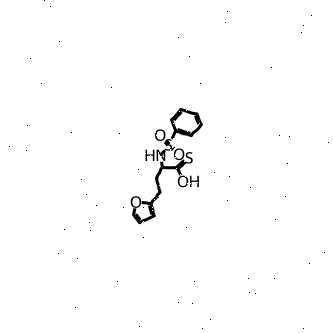 O=S(=O)(NC(CCc1ccco1)C(O)=S)c1ccccc1